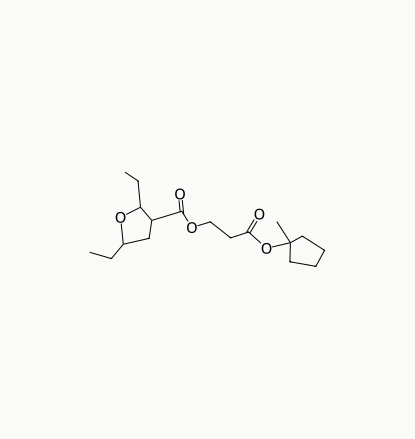 CCC1CC(C(=O)OCCC(=O)OC2(C)CCCC2)C(CC)O1